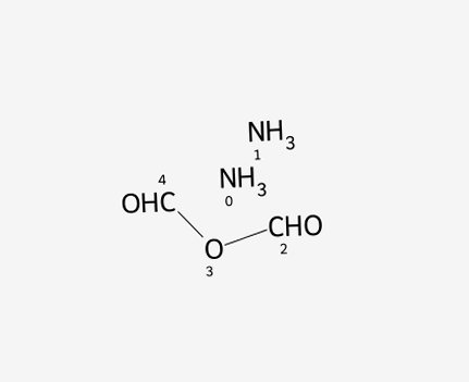 N.N.O=COC=O